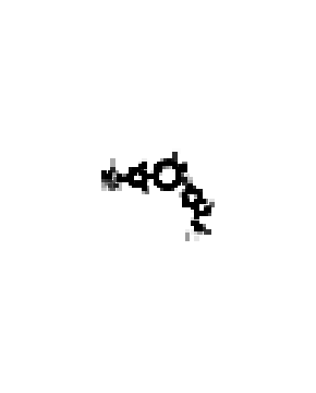 C=C1/C(F)=C\C=C(\c2c(C)cc(-c3nnn[nH]3)cc2C)CCC[C@H]1Oc1ccc2c(c1)OC[C@H]2CC(=O)O